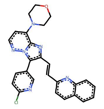 Clc1ccc(-c2c(C=Cc3ccc4ccccc4n3)nc3c(N4CCOCC4)ccnn23)cn1